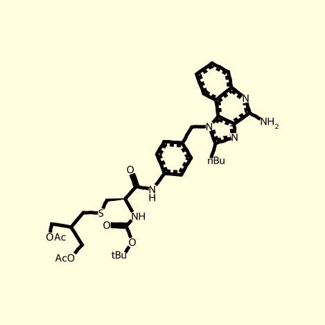 CCCCc1nc2c(N)nc3ccccc3c2n1Cc1ccc(NC(=O)[C@H](CSCC(COC(C)=O)COC(C)=O)NC(=O)OC(C)(C)C)cc1